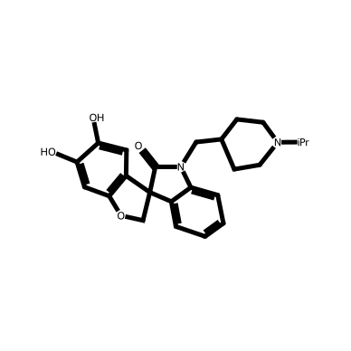 CC(C)N1CCC(CN2C(=O)C3(COc4cc(O)c(O)cc43)c3ccccc32)CC1